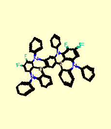 Fc1cc2c3c(c1F)N(c1ccccc1)c1cc4c(cc1B3c1ccccc1N2c1ccccc1)B1c2ccccc2N(c2ccccc2)c2cc(F)c(F)c(c21)N4c1ccccc1